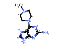 CN1CCN(c2nc(N)nc3[nH]cnc23)CC1